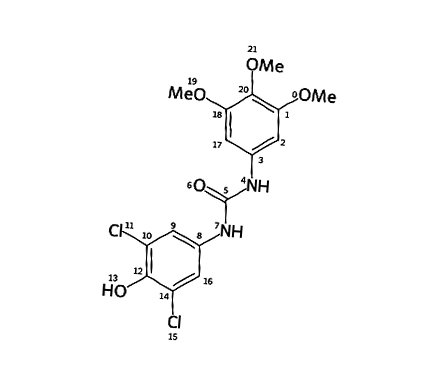 COc1cc(NC(=O)Nc2cc(Cl)c(O)c(Cl)c2)cc(OC)c1OC